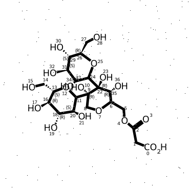 O=C(O)CC(=O)OC[C]1OC[C@@](O)(C2O[C@@H](CO)[C@H](O)[C@@H](O)[C@@H]2O)[C@](O)(C2O[C@H](CO)[C@@H](O)[C@H](O)[C@H]2O)[C@@H]1O